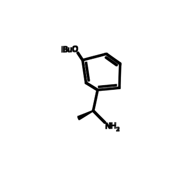 CC(C)COc1cccc([C@H](C)N)c1